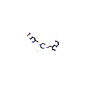 COc1ccc2ncc(F)c(CCN3CCC(NC(=O)c4cnc5c(c4)NC(=O)CS5)CC3)c2n1.Cl.Cl